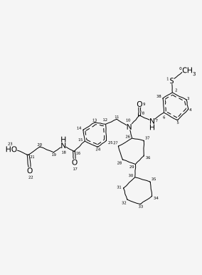 CSc1cccc(NC(=O)N(Cc2ccc(C(=O)NCCC(=O)O)cc2)C2CCC(C3CCCCC3)CC2)c1